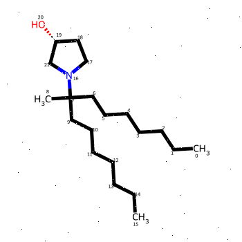 CCCCCCCC(C)(CCCCCCC)N1CC[C@@H](O)C1